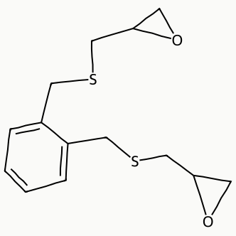 c1ccc(CSCC2CO2)c(CSCC2CO2)c1